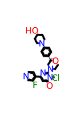 O=c1cc(-c2ccncc2F)nc(N2CCO[C@@H](c3ccc(N4CCC(O)CC4)cc3)C2)n1Cl